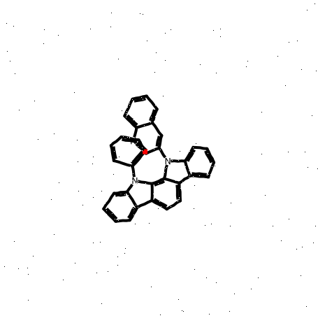 c1ccc(-n2c3ccccc3c3ccc4c5ccccc5n(-c5cnc6ccccc6c5)c4c32)cc1